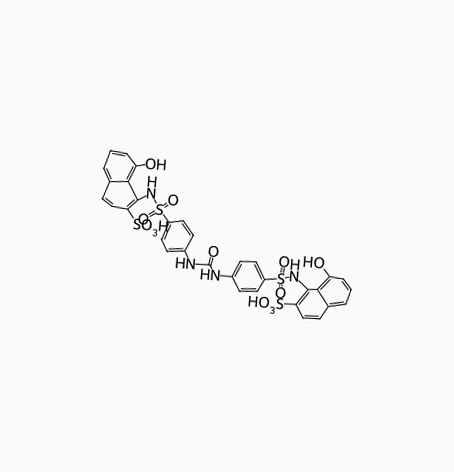 O=C(Nc1ccc(S(=O)(=O)Nc2c(S(=O)(=O)O)ccc3cccc(O)c23)cc1)Nc1ccc(S(=O)(=O)Nc2c(S(=O)(=O)O)ccc3cccc(O)c23)cc1